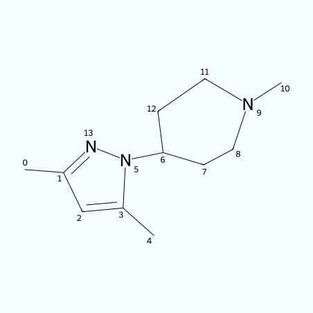 Cc1cc(C)n(C2CCN(C)CC2)n1